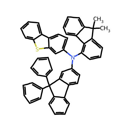 CC1(C)c2ccccc2-c2c(N(c3ccc4c(c3)C(c3ccccc3)(c3ccccc3)c3ccccc3-4)c3ccc4c(c3)sc3ccccc34)cccc21